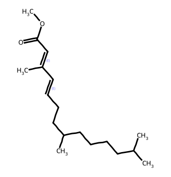 COC(=O)/C=C(C)/C=C/CCC(C)CCCCC(C)C